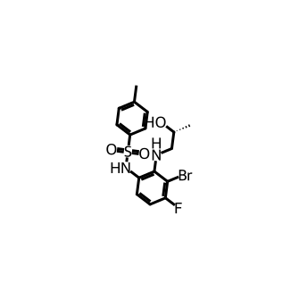 Cc1ccc(S(=O)(=O)Nc2ccc(F)c(Br)c2NC[C@@H](C)O)cc1